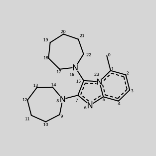 Cc1cccc2nc(N3CCCCCC3)c(N3CCCCCC3)n12